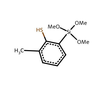 CO[Si](OC)(OC)c1cccc(C)c1S